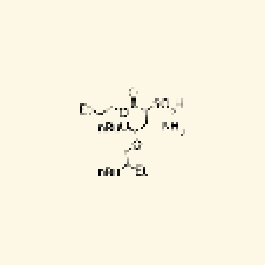 CCCCC(CC)COC(=O)CC(C(=O)OCC(CC)CCCC)S(=O)(=O)O.N